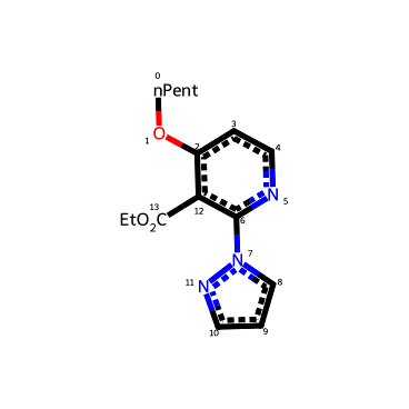 CCCCCOc1ccnc(-n2cccn2)c1C(=O)OCC